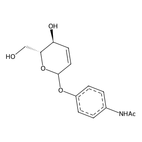 CC(=O)Nc1ccc(OC2C=C[C@H](O)[C@@H](CO)O2)cc1